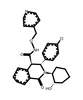 O=C(NOCc1ccncc1)[C@@H]1c2ccccc2C(=O)N([C@H]2CCCC[C@@H]2O)[C@H]1c1ccc(Cl)cc1